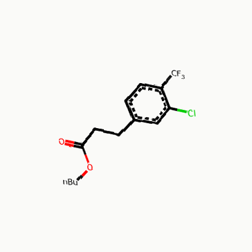 CCCCOC(=O)CCc1ccc(C(F)(F)F)c(Cl)c1